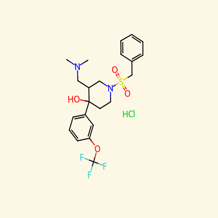 CN(C)CC1CN(S(=O)(=O)Cc2ccccc2)CCC1(O)c1cccc(OC(F)(F)F)c1.Cl